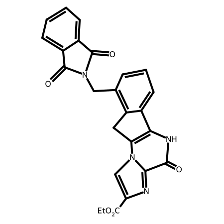 CCOC(=O)c1cn2c3c([nH]c(=O)c2n1)-c1cccc(CN2C(=O)c4ccccc4C2=O)c1C3